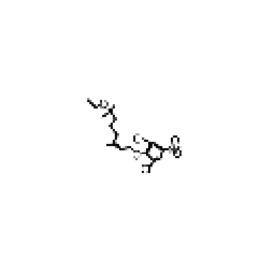 CCOC(C)(C)CCCC(C)=CCOc1c(Cl)cc([N+](=O)[O-])cc1Cl